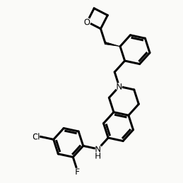 Fc1cc(Cl)ccc1Nc1ccc2c(c1)CN(CC1C=CC=C[C@@H]1CC1CCO1)CC2